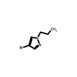 CCCn1[c]c(Br)cn1